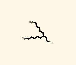 [CH2]CCC(CCCCCC)CCCCCC